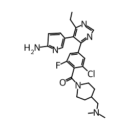 CCc1ncnc(-c2cc(F)c(C(=O)N3CCC(CN(C)C)CC3)c(Cl)c2)c1-c1ccc(N)nc1